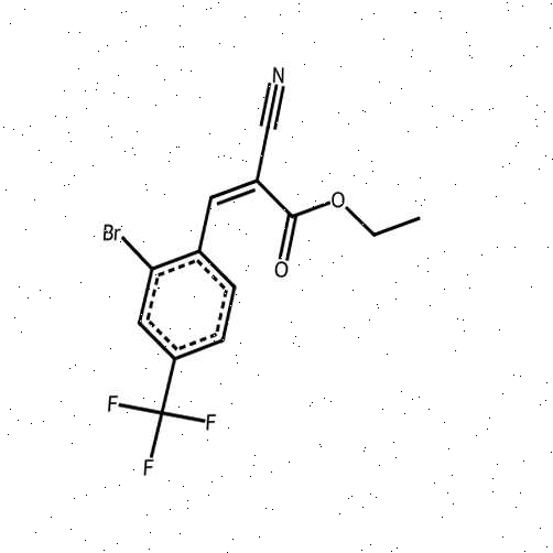 CCOC(=O)C(C#N)=Cc1ccc(C(F)(F)F)cc1Br